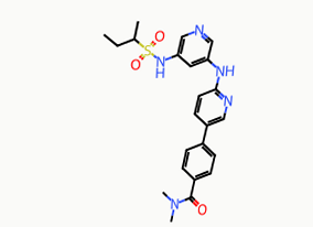 CCC(C)S(=O)(=O)Nc1cncc(Nc2ccc(-c3ccc(C(=O)N(C)C)cc3)cn2)c1